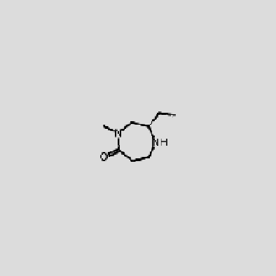 CC[C@@H]1CN(C)C(=O)CCN1